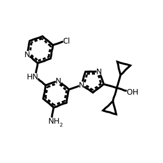 Nc1cc(Nc2cc(Cl)ccn2)nc(-n2cnc(C(O)(C3CC3)C3CC3)c2)c1